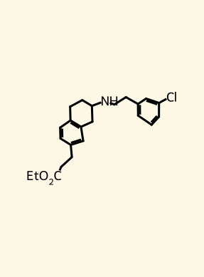 CCOC(=O)CCc1ccc2c(c1)CC(NCCc1cccc(Cl)c1)CC2